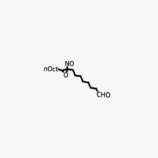 CCCCCCCCC1OC1(CCCCCCCC=O)N=O